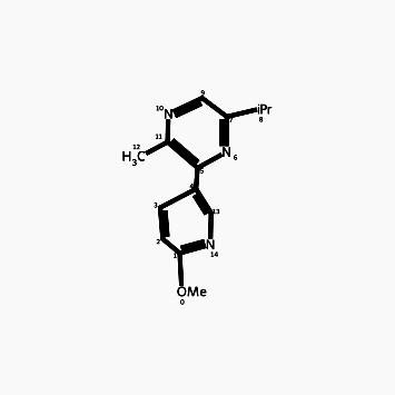 COc1ccc(-c2nc(C(C)C)cnc2C)cn1